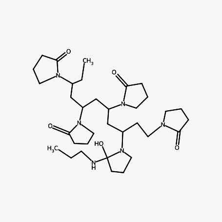 CCCNC1(O)CCCN1C(CCN1CCCC1=O)CC(CC(CC(CC)N1CCCC1=O)N1CCCC1=O)N1CCCC1=O